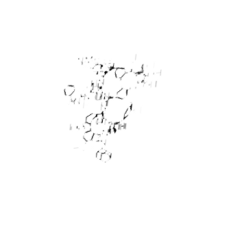 CN[C@H](CC(C)C)C(=O)N[C@H]1C(=O)N[C@@H](CC(=O)NC(=O)N[C@@H](C)c2ccccc2)C(=O)N[C@H]2C(=O)N[C@@H]3C(=O)N[C@H](C(=O)N[C@H](C(=O)NC4C5CC6CC(C5)CC4C6)c4cc(O)cc(O)c4-c4cc3ccc4O)[C@H](O)c3ccc(c(Cl)c3)Oc3cc2cc2c3OC3O[C@H](C(O)c4cc(ccc4O2)[C@H]1O)[C@@H](O)[C@H](O)[C@H]3O